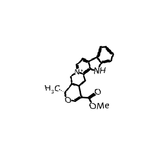 COC(=O)C1=CO[C@H](C)C2C[n+]3ccc4c([nH]c5ccccc54)c3CC12